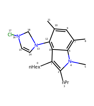 CCCCCCc1c(CCC)n(C)c2c(C)cc(C)c(N3C=CN(Cl)C3)c12